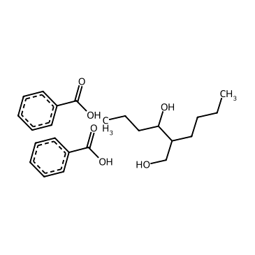 CCCCC(CO)C(O)CCC.O=C(O)c1ccccc1.O=C(O)c1ccccc1